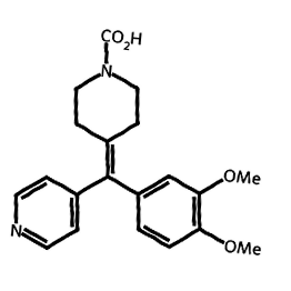 COc1ccc(C(=C2CCN(C(=O)O)CC2)c2ccncc2)cc1OC